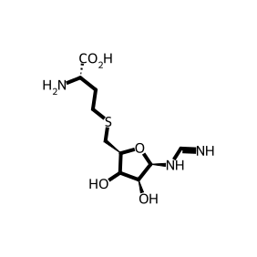 N=CN[C@@H]1O[C@H](CSCC[C@H](N)C(=O)O)C(O)[C@@H]1O